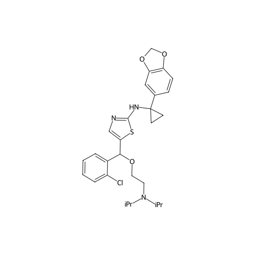 CC(C)N(CCOC(c1cnc(NC2(c3ccc4c(c3)OCO4)CC2)s1)c1ccccc1Cl)C(C)C